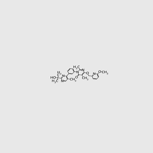 COc1cccc(COc2nc(C)n(-c3cccc(-c4nc(C(C)(C)O)ncc4C)c3)c(=O)c2C)n1